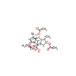 CC(=O)OC[C@@]12CC3C(C)C(OC(C)=O)CC3[C@@]3(C=O)C[C@H]1C=C(C(C)C)[C@@]23C(=O)O